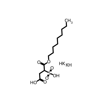 CCCCCCCCCOC(=O)C(CC(=O)O)S(=O)(=O)O.[KH].[KH]